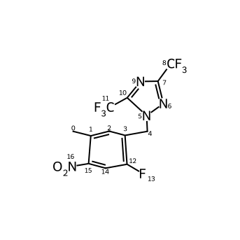 Cc1cc(Cn2nc(C(F)(F)F)nc2C(F)(F)F)c(F)cc1[N+](=O)[O-]